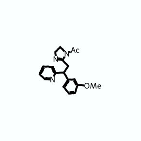 COc1cccc(C(CC2=NCCN2C(C)=O)c2ccccn2)c1